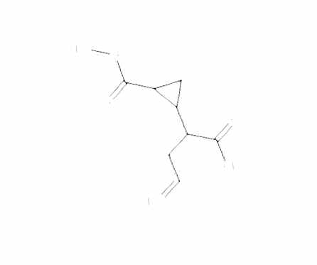 C=CCC(C(=O)O)C1CC1C(=O)OC